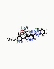 COc1cc(C)c(-c2cc3c(NC4CNC(=O)C4(C)C)c(/C(N)=N/c4ccccc4Cl)cnn3c2)cn1